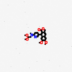 COc1cc2cc3c(c(-c4ccc(N(C)CC(OC)OC)nc4)c2cc1OC)C(=O)OC3